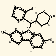 Fc1cccnc1C(C1CCOCC1)n1c2cc(Cl)ccc2c2ncc(Br)cc21